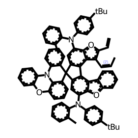 C=Cc1oc2c(N(c3ccc(C(C)(C)C)cc3)c3ccccc3C)cc3c(c2c1/C=C\C)-c1c(cc(N(c2ccc(C(C)(C)C)cc2)c2ccccc2C)c2oc4ccccc4c12)C31c2ccccc2N2c3ccccc3Oc3cccc1c32